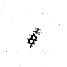 NC(=O)Oc1ccc2cc(F)ccc2c1